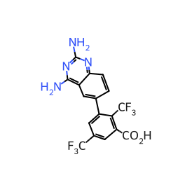 Nc1nc(N)c2cc(-c3cc(C(F)(F)F)cc(C(=O)O)c3C(F)(F)F)ccc2n1